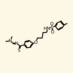 Cc1ccc(S(=O)(=O)NCCCCOc2ccc(C(=S)N=CN(C)C)cc2)cc1